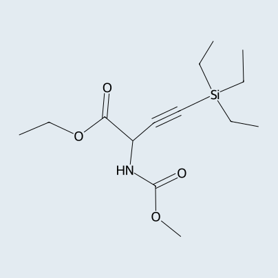 CCOC(=O)C(C#C[Si](CC)(CC)CC)NC(=O)OC